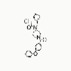 O=C(c1ccc(Oc2ccccc2)cc1)N1CCCC(N(Cc2ccccc2)C(=O)CCl)CC1